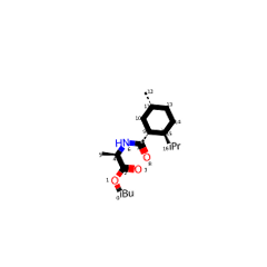 CCC(C)OC(=O)[C@@H](C)NC(=O)[C@@H]1C[C@H](C)CC[C@H]1C(C)C